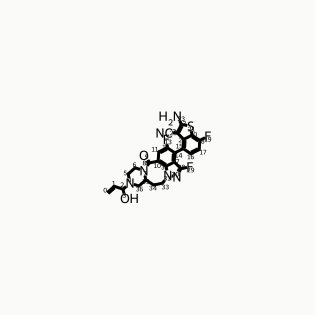 C=CC(O)N1CCN2C(=O)c3cc(F)c(-c4ccc(F)c5sc(N)c(C#N)c45)c4c(F)nn(c34)CCC2C1